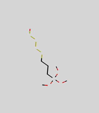 CCO[Si](CCCSSSSO)(OCC)OCC